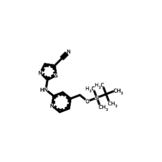 CC(C)(C)[Si](C)(C)OCc1ccnc(Nc2ncc(C#N)s2)c1